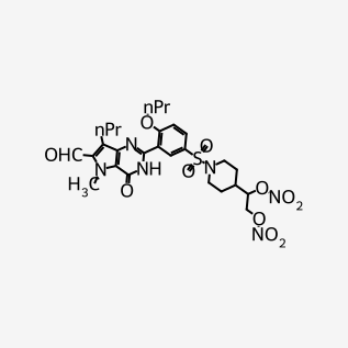 CCCOc1ccc(S(=O)(=O)N2CCC(C(CO[N+](=O)[O-])O[N+](=O)[O-])CC2)cc1-c1nc2c(CCC)c(C=O)n(C)c2c(=O)[nH]1